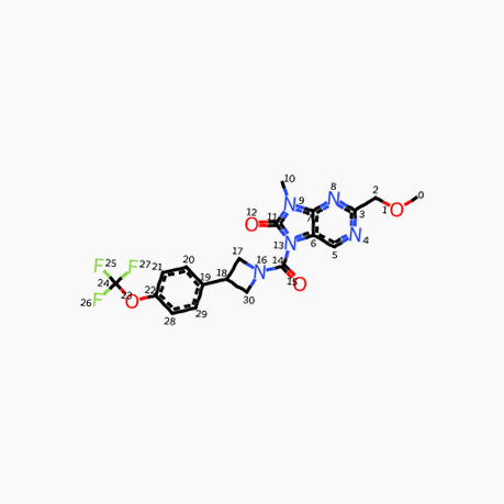 COCc1ncc2c(n1)n(C)c(=O)n2C(=O)N1CC(c2ccc(OC(F)(F)F)cc2)C1